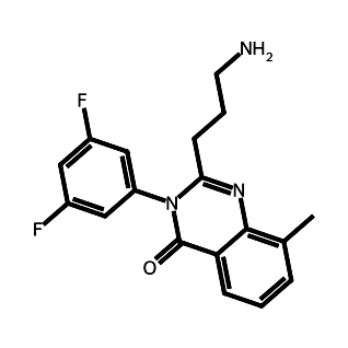 Cc1cccc2c(=O)n(-c3cc(F)cc(F)c3)c(CCCN)nc12